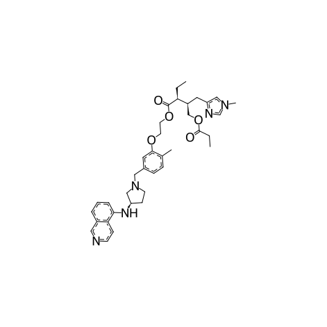 CCC(=O)OC[C@H](Cc1cn(C)cn1)[C@H](CC)C(=O)OCCOc1cc(CN2CC[C@@H](Nc3cccc4cnccc34)C2)ccc1C